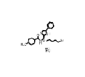 CC(=O)CCCCC[C@H](NC(=O)C1CCN(C)CC1)c1ncc(-c2ccccc2)[nH]1.Cl.Cl